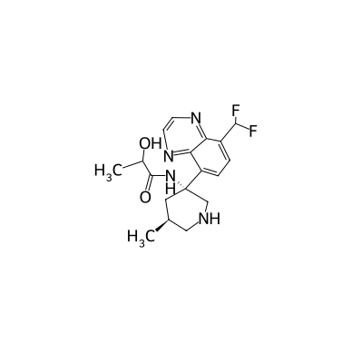 CC(O)C(=O)N[C@]1(c2ccc(C(F)F)c3nccnc23)CNC[C@@H](C)C1